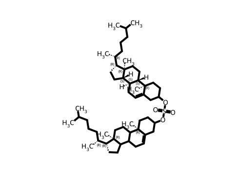 CC(C)CCC[C@@H](C)[C@H]1CC[C@H]2[C@@H]3CC=C4CC(OS(=O)(=O)OC5CC[C@@]6(C)C(=CCC7C6CC[C@@]6(C)C7CC[C@@H]6[C@H](C)CCCC(C)C)C5)CC[C@]4(C)[C@H]3CC[C@]12C